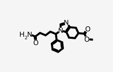 COC(=O)C1CCc2c(ncn2C(CCCC(N)=O)c2ccccc2)C1